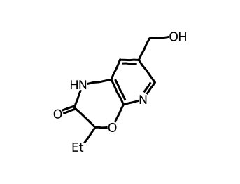 CCC1Oc2ncc(CO)cc2NC1=O